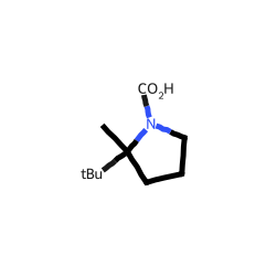 CC(C)(C)C1(C)CCCN1C(=O)O